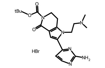 Br.CN(C)CCn1c(-c2ccnc(N)n2)cc2c1CCN(C(=O)OC(C)(C)C)C2=O